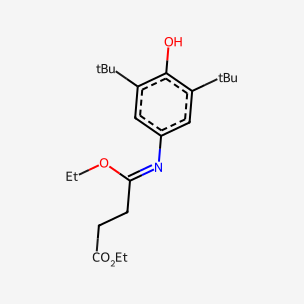 CCOC(=O)CCC(=Nc1cc(C(C)(C)C)c(O)c(C(C)(C)C)c1)OCC